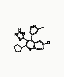 Cc1cc(-c2c(-c3nn[nH]n3)c(C3CCCC3)nc3ccc(Cl)cc23)ccn1